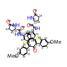 COc1ccc2c(C(=O)c3c(-c4ccc(NC(=O)[C@H]5CCC(=O)N5)cc4)sc4cc(OC)ccc34)c(-c3ccc(NC(=O)[C@H]4CCC(=O)N4)cc3)sc2c1